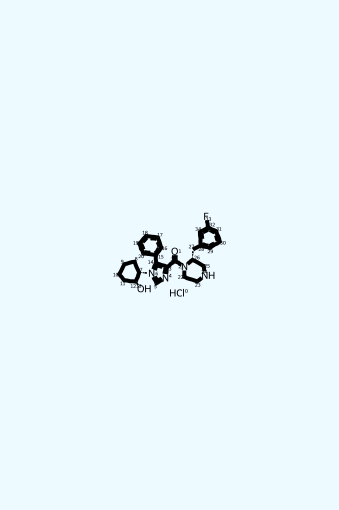 Cl.O=C(c1ncn([C@H]2CCCC[C@H]2O)c1-c1ccccc1)N1CCNC[C@H]1Cc1cccc(F)c1